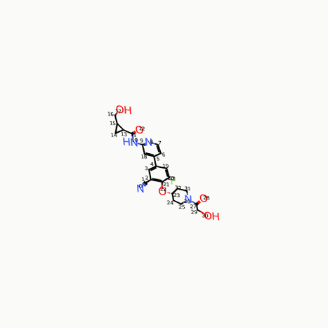 N#Cc1cc(-c2ccnc(NC(=O)C3CC3CO)c2)ccc1O[C@H]1CCN(C(=O)CO)C[C@H]1F